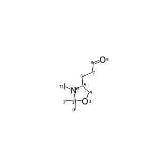 CC1(C)OCC(CCC=O)N1I